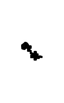 CCCS(=O)(=O)NC(=O)CCOC(=O)C12CC3CC(CC(C3)C1)C2